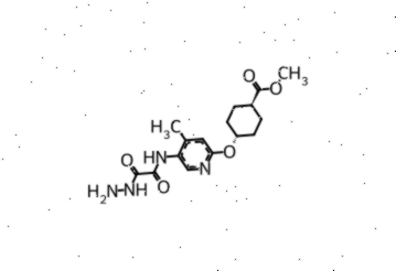 COC(=O)[C@H]1CC[C@H](Oc2cc(C)c(NC(=O)C(=O)NN)cn2)CC1